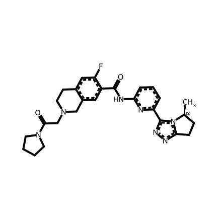 C[C@H]1CCc2nnc(-c3cccc(NC(=O)c4cc5c(cc4F)CCN(CC(=O)N4CCCC4)C5)n3)n21